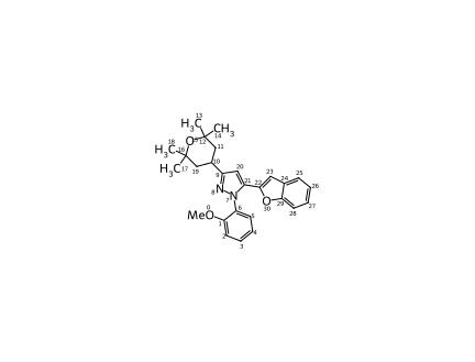 COc1ccccc1-n1nc(C2CC(C)(C)OC(C)(C)C2)cc1-c1cc2ccccc2o1